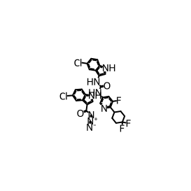 O=C(Nc1cnc(C2CCC(F)(F)CC2)c(F)c1)Nc1c[nH]c2ccc(Cl)cc12.[N-]=[N+]=NC(=O)c1c[nH]c2ccc(Cl)cc12